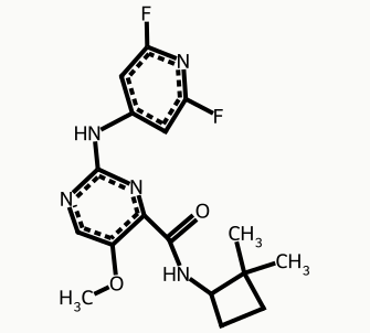 COc1cnc(Nc2cc(F)nc(F)c2)nc1C(=O)NC1CCC1(C)C